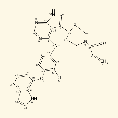 C=CC(=O)N1CCC(c2c[nH]c3ncnc(Nc4ccc(Oc5ccnc6cc[nH]c56)c(Cl)c4)c23)CC1